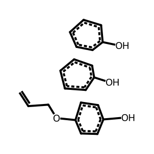 C=CCOc1ccc(O)cc1.Oc1ccccc1.Oc1ccccc1